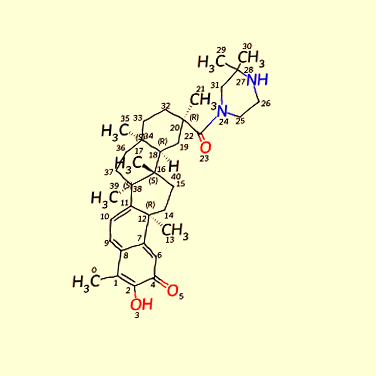 CC1=C(O)C(=O)C=C2C1=CC=C1[C@@]2(C)CC[C@@]2(C)[C@@H]3C[C@](C)(C(=O)N4CCNC(C)(C)C4)CC[C@]3(C)CC[C@]12C